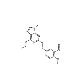 C/C=C/c1nc(SCc2ccc(OC)c(N=O)c2)nc2c1ncn2C